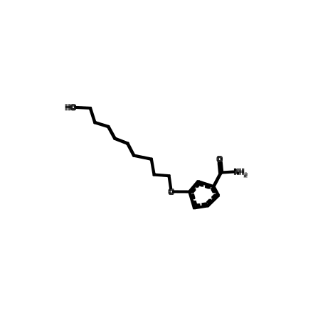 NC(=O)c1cccc(OCCCCCCCCCO)c1